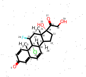 C[C@]12C=CC(=O)C=C1C=C[C@H]1[C@@H]3CC[C@](O)(C(=O)CO)[C@@]3(C)CC(F)[C@@]12Cl